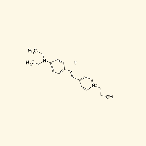 CCN(CC)c1ccc(/C=C/c2cc[n+](CCO)cc2)cc1.[I-]